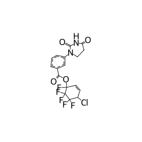 O=C1CCN(c2cccc(C(=O)OC3(F)C=CC(Cl)C(F)(F)C3(F)F)c2)C(=O)N1